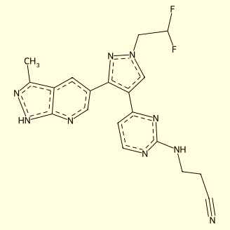 Cc1n[nH]c2ncc(-c3nn(CC(F)F)cc3-c3ccnc(NCCC#N)n3)cc12